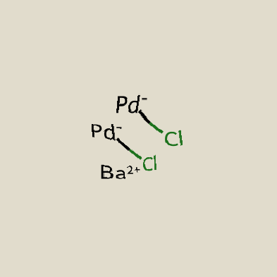 [Ba+2].[Cl][Pd-].[Cl][Pd-]